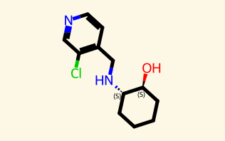 O[C@H]1CCCC[C@@H]1NCc1ccncc1Cl